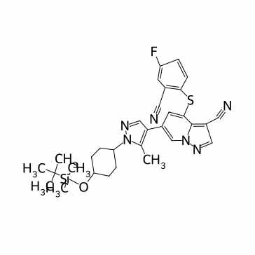 Cc1c(-c2cc(Sc3ccc(F)cc3C#N)c3c(C#N)cnn3c2)cnn1C1CCC(O[Si](C)(C)C(C)(C)C)CC1